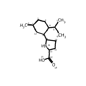 CC1CCC(C(C)C)C(C2CCC(C(=O)O)N2)C1